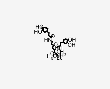 CCNC(C)(C)C(=O)C(CCCCNC(=O)CCc1ccc(O)c(O)c1)NC(=O)CCc1ccc(O)c(O)c1